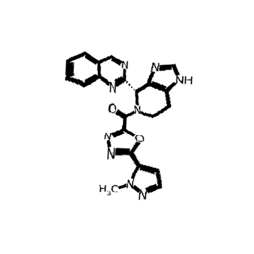 Cn1nccc1-c1nnc(C(=O)N2CCc3[nH]cnc3[C@H]2c2ncc3ccccc3n2)o1